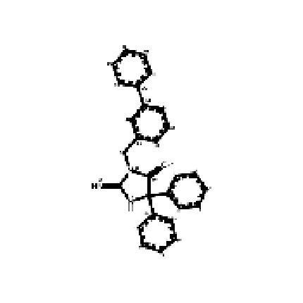 N=C1NC(c2ccccc2)(c2ccccc2)C(=O)N1Cc1cccc(-c2ccccc2)c1